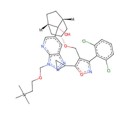 C[Si](C)(C)CCOCn1nnc2cc([C@]3(O)[C@@H]4CC[C@H]3C[C@@H](OCc3c(-c5c(Cl)cccc5Cl)noc3C3CC3)C4)cnc21